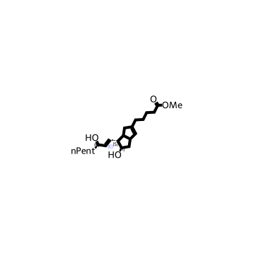 CCCCC[C@@H](O)/C=C/[C@@H]1C2CC(CCCCC(=O)OC)=CC2C[C@H]1O